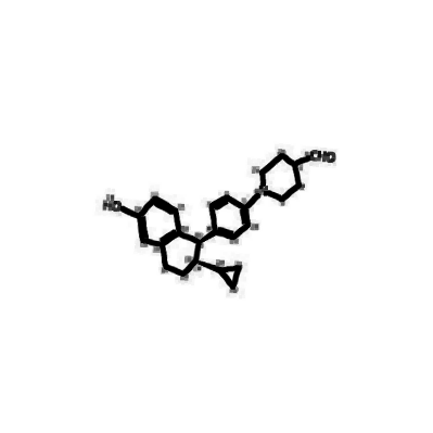 O=CC1CCN(c2ccc([C@@H]3c4ccc(O)cc4CC[C@@H]3C3CC3)cc2)CC1